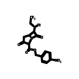 CCN(CC(F)(F)F)C1C(=O)N2C(C(=O)OCc3ccc([N+](=O)[O-])cc3)C(=O)CC12